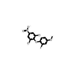 COc1ccc(Oc2c(Cl)cc([N+](=O)[O-])cc2Cl)c(F)c1